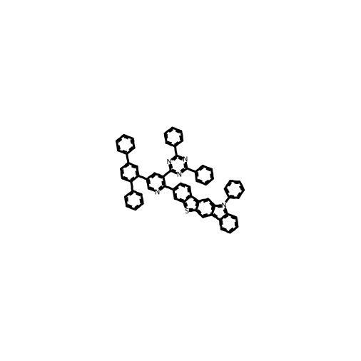 c1ccc(-c2ccc(-c3ccccc3)c(-c3cnc(-c4ccc5c(c4)sc4cc6c7ccccc7n(-c7ccccc7)c6cc45)c(-c4nc(-c5ccccc5)nc(-c5ccccc5)n4)c3)c2)cc1